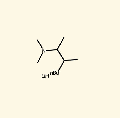 CCCCC(C)C(C)N(C)C.[LiH]